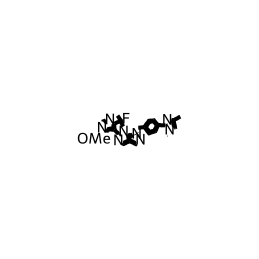 COc1ncnc(C(C)(C)F)c1-c1ncc2cnn(Cc3ccc(-c4nc(C)cn4C)cc3)c2n1